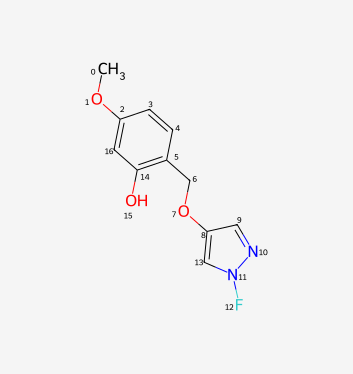 COc1ccc(COc2cnn(F)c2)c(O)c1